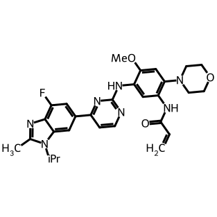 C=CC(=O)Nc1cc(Nc2nccc(-c3cc(F)c4nc(C)n(C(C)C)c4c3)n2)c(OC)cc1N1CCOCC1